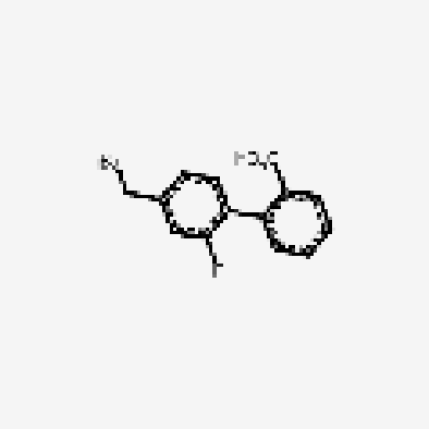 CCC(C)Cc1ccc(-c2ccccc2C(=O)O)c(F)c1